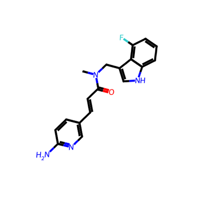 CN(Cc1c[nH]c2cccc(F)c12)C(=O)C=Cc1ccc(N)nc1